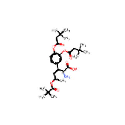 CC(CC(c1ccc(OC(=O)CC(C)(C)C)c(OC(=O)CC(C)(C)C)c1)[C@H](N)C(=O)O)OC(=O)C(C)(C)C